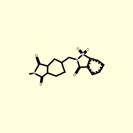 CN1C(=O)C2CCC(CN3C(=O)c4ccccc4S3(=O)=O)CC2C1=O